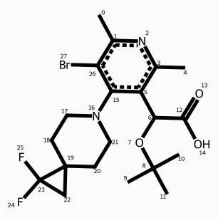 Cc1nc(C)c(C(OC(C)(C)C)C(=O)O)c(N2CCC3(CC2)CC3(F)F)c1Br